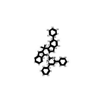 CC1(C)C2=Cc3ccccc3C2N(c2nc(-c3ccccc3)cc(-c3ccccc3)n2)C2=C1c1cc(-c3ccccc3)ccc1C2